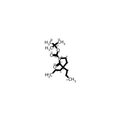 CCCC1(CCC)CCN(C(=O)OC(C)(C)C)C1=O